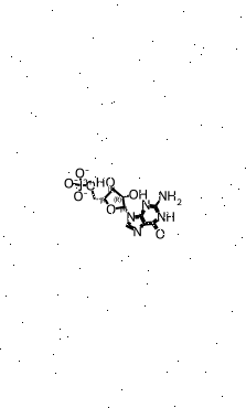 Nc1nc2c(ncn2[C@@H]2O[C@H](CO[I+3]([O-])([O-])[O-])[C@@H](O)[C@H]2O)c(=O)[nH]1